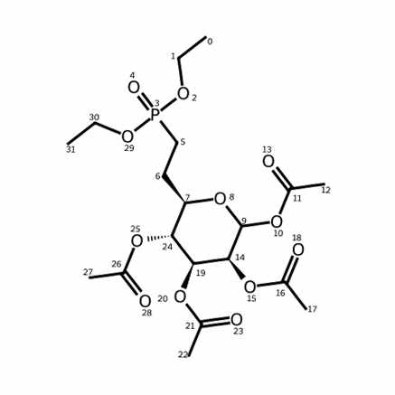 CCOP(=O)(CC[C@H]1OC(OC(C)=O)[C@@H](OC(C)=O)[C@@H](OC(C)=O)[C@@H]1OC(C)=O)OCC